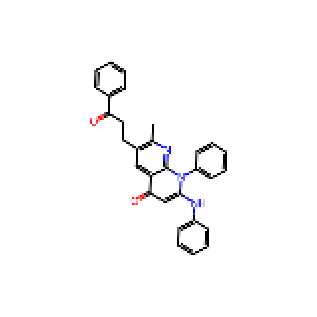 Cc1nc2c(cc1CCC(=O)c1ccccc1)c(=O)cc(Nc1ccccc1)n2-c1ccccc1